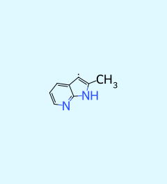 Cc1[c]c2cccnc2[nH]1